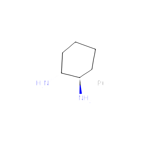 N[C@@H]1CCCC[C@H]1N.[Pt+]